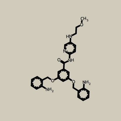 COCCNc1ccc(NC(=O)c2cc(OCc3ccccc3N)cc(OCc3ccccc3N)c2)nc1